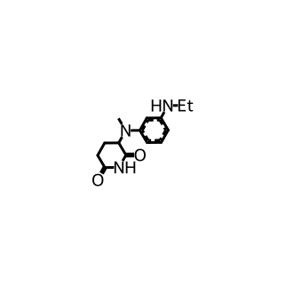 CCNc1cccc(N(C)C2CCC(=O)NC2=O)c1